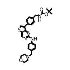 CC(C)(C)OC(=O)NCc1ccc(-c2csc3cnc(Nc4ccc(CN5CCOCC5)cc4)nc23)cc1